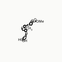 COC(=O)C[C@@H]1OCc2cc(OCc3ccc4c(c3)-c3c(C)cc(OCCN5CCS(O)(O)CC5)cc3CCO4)ccc21